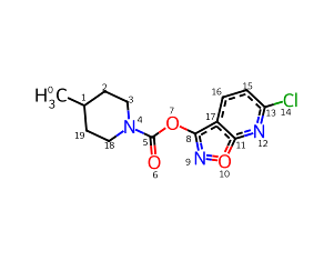 CC1CCN(C(=O)Oc2noc3nc(Cl)ccc23)CC1